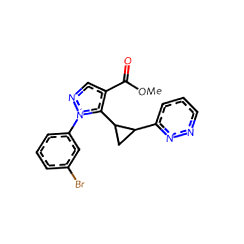 COC(=O)c1cnn(-c2cccc(Br)c2)c1C1CC1c1cccnn1